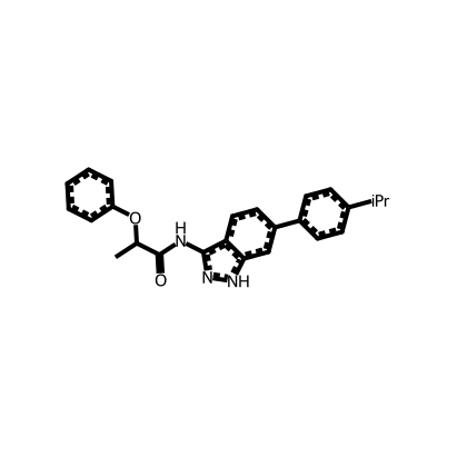 CC(Oc1ccccc1)C(=O)Nc1n[nH]c2cc(-c3ccc(C(C)C)cc3)ccc12